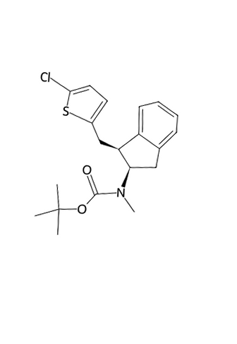 CN(C(=O)OC(C)(C)C)[C@@H]1Cc2ccccc2[C@@H]1Cc1ccc(Cl)s1